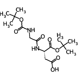 CC(C)(C)OC(=O)NCC(=O)N[C@@H](CC(=O)O)C(=O)OC(C)(C)C